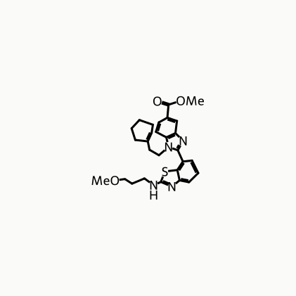 COCCCNc1nc2cccc(-c3nc4cc(C(=O)OC)ccc4n3CCC3=CCCCC3)c2s1